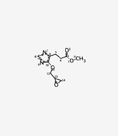 COC(=O)CCc1nsnc1OCC1CO1